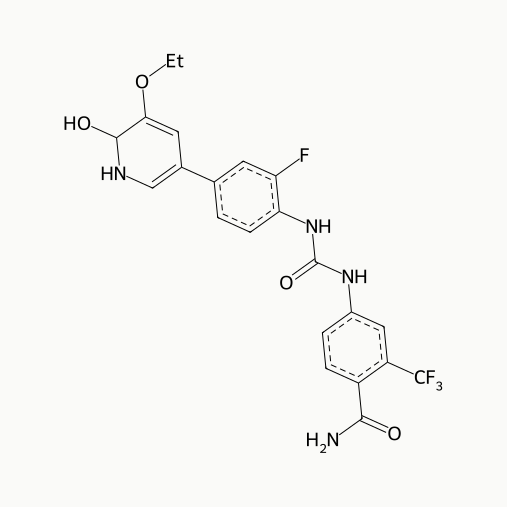 CCOC1=CC(c2ccc(NC(=O)Nc3ccc(C(N)=O)c(C(F)(F)F)c3)c(F)c2)=CNC1O